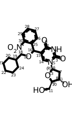 O=c1[nH]c(=O)n([C@H]2C[C@H](O)[C@@H](CO)O2)cc1C(OCC1CCCCC1)c1ccccc1[N+](=O)[O-]